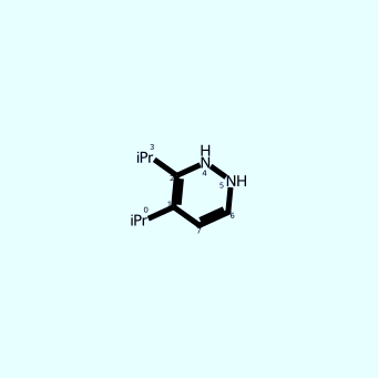 CC(C)C1=C(C(C)C)NNC=C1